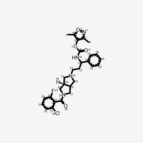 Cc1noc(C)c1OC(=O)NC(CCN1CC2CN(C(=O)c3c(F)cccc3Cl)C[C@@H]2C1)c1ccccc1